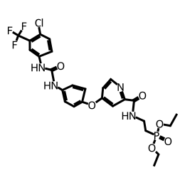 CCOP(=O)(CCNC(=O)c1cc(Oc2ccc(NC(=O)Nc3ccc(Cl)c(C(F)(F)F)c3)cc2)ccn1)OCC